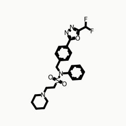 O=S(=O)(CCN1CCCCC1)N(Cc1ccc(-c2nnc(C(F)F)o2)cc1)c1ccccc1